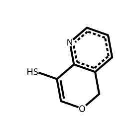 SC1=COCc2cccnc21